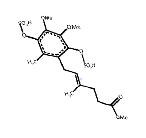 COC(=O)CC/C(C)=C/Cc1c(C)c(OS(=O)(=O)O)c(OC)c(OC)c1OS(=O)(=O)O